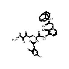 CNC(=O)C(=O)CC[C@H](NC(=O)c1cc(Cl)sc1Cl)C(=O)Nc1cccn(CC(=O)NC2C3CC4CC(C3)C2C4)c1=O